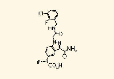 CC(C)N(C(=O)O)c1ccc2c(c1)c(C(N)=O)nn2CC(=O)NCc1cccc(Cl)c1F